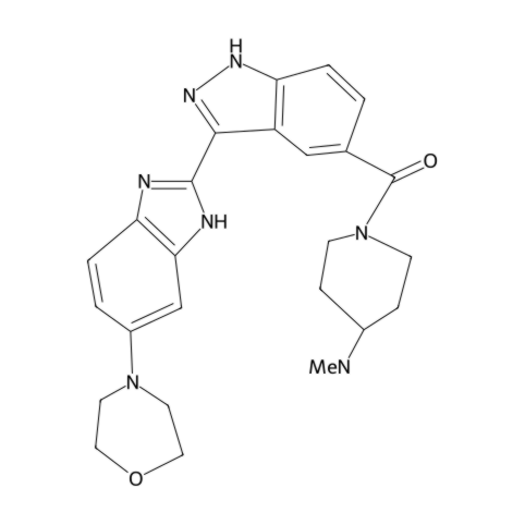 CNC1CCN(C(=O)c2ccc3[nH]nc(-c4nc5ccc(N6CCOCC6)cc5[nH]4)c3c2)CC1